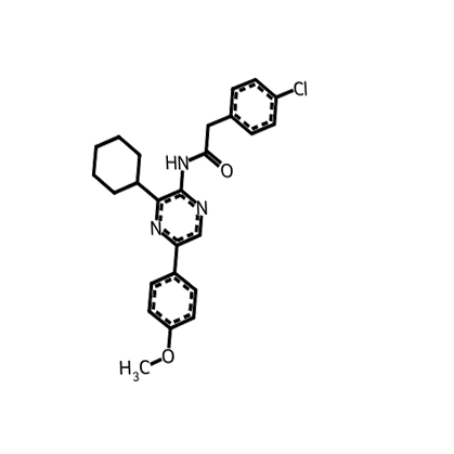 COc1ccc(-c2cnc(NC(=O)Cc3ccc(Cl)cc3)c(C3CCCCC3)n2)cc1